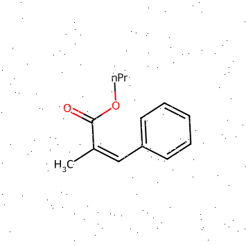 CCCOC(=O)C(C)=Cc1ccccc1